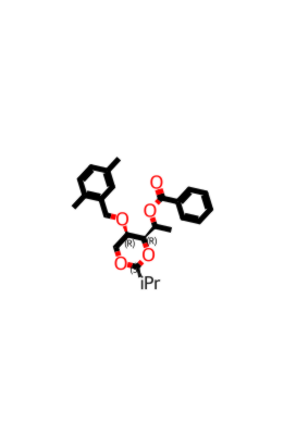 Cc1ccc(C)c(CO[C@@H]2CO[C@H](C(C)C)O[C@@H]2C(C)OC(=O)c2ccccc2)c1